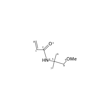 C=CC(=O)NC(C)(C)COC